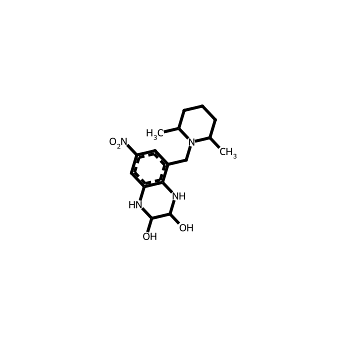 CC1CCCC(C)N1Cc1cc([N+](=O)[O-])cc2c1NC(O)C(O)N2